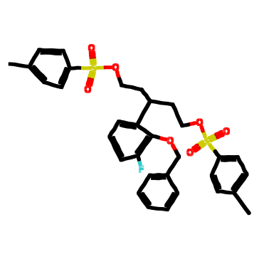 Cc1ccc(S(=O)(=O)OCCC(CCOS(=O)(=O)c2ccc(C)cc2)c2cccc(F)c2OCc2ccccc2)cc1